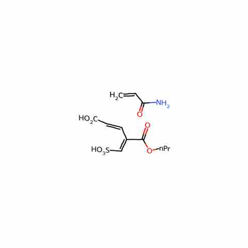 C=CC(N)=O.CCCOC(=O)C(C=CC(=O)O)=CS(=O)(=O)O